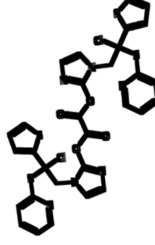 O=C(Oc1nccn1CC(Cl)(Sc1ccccn1)c1cccs1)C(=O)Oc1nccn1CC(Cl)(Sc1ccccn1)c1cccs1